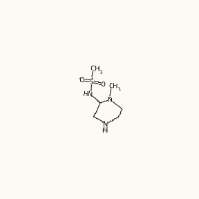 CN1CCNCC1NS(C)(=O)=O